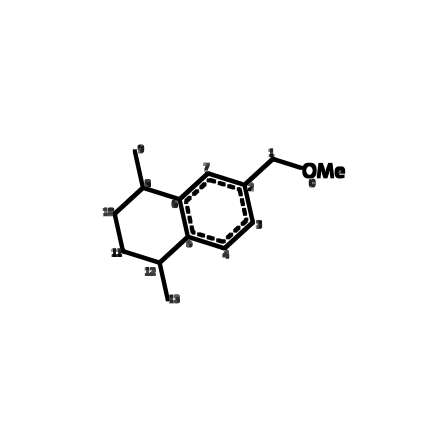 COCc1ccc2c(c1)C(C)CCC2C